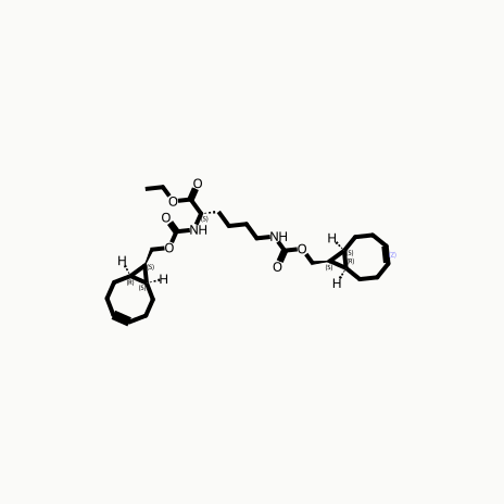 CCOC(=O)[C@H](CCCCNC(=O)OC[C@@H]1[C@@H]2CC/C=C\CC[C@@H]21)NC(=O)OC[C@@H]1[C@@H]2CCC#CCC[C@@H]21